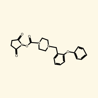 O=C(ON1C(=O)CCC1=O)N1CCN(Cc2ccccc2Oc2ccccc2)CC1